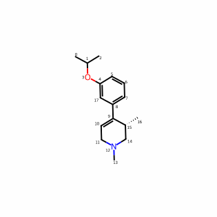 CC(C)Oc1cccc(C2=CCN(C)C[C@H]2C)c1